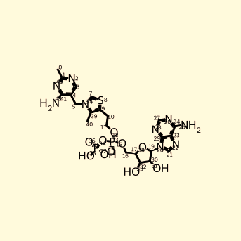 Cc1ncc(C[n+]2csc(CCOP(=O)(OC[C@H]3O[C@@H](n4cnc5c(N)ncnc54)C(O)C3O)OP(=O)(O)O)c2C)c(N)n1